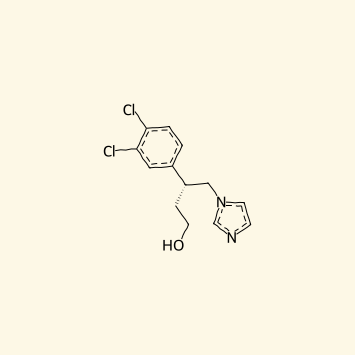 OCC[C@@H](Cn1ccnc1)c1ccc(Cl)c(Cl)c1